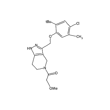 COCC(=O)N1CCc2[nH]nc(COc3cc(C)c(Cl)cc3C(C)(C)C)c2C1